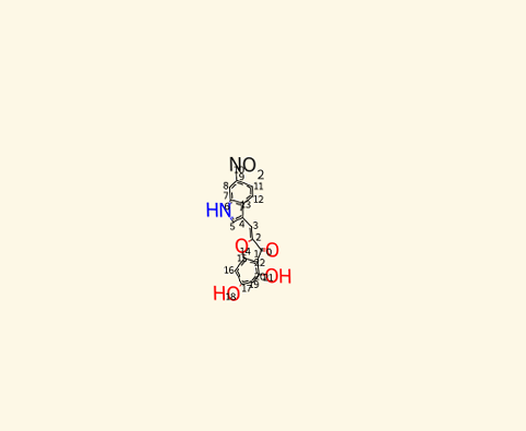 O=C1C(=Cc2c[nH]c3cc([N+](=O)[O-])ccc23)Oc2cc(O)cc(O)c21